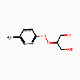 Cc1ccc(OOC(CO)CO)cc1